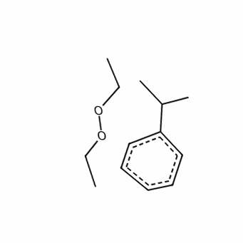 CC(C)c1ccccc1.CCOOCC